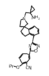 CC(C)Oc1ccc(-c2nc(-c3cccc4c3CCC43CCN(CC4(N)CC4)C3)no2)cc1C#N